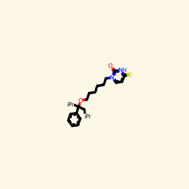 CC(C)CC(OCCCCCCn1ccc(=S)[nH]c1=O)(c1ccccc1)C(C)C